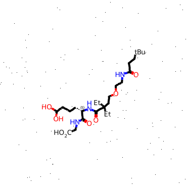 CCC(CC)(CCOCCNC(=O)CCC(C)(C)C)C(=O)N[C@@H](CCCC(O)O)C(=O)NCC(=O)O